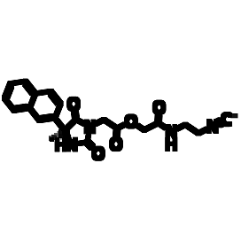 [C-]#[N+]CCNC(=O)COC(=O)CN1C(=O)N[C@@](C)(c2ccc3ccccc3c2)C1=O